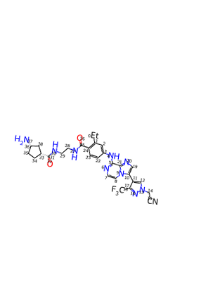 CCc1cc(Nc2nccn3c(-c4cn(CC#N)nc4C(F)(F)F)cnc23)ccc1C(=O)NCCNC(=O)[C@@H]1CC[C@H](N)C1